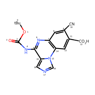 CC(C)(C)OC(=O)Nc1nc2cc(C#N)c(C(=O)O)cc2n2cncc12